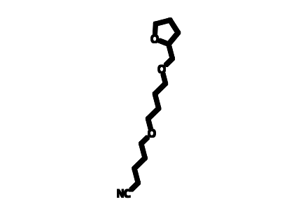 N#CCCCCOCCCCOCC1CCCO1